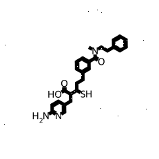 CN(CCc1ccccc1)C(=O)c1cccc(CCC(S)C(Cc2ccc(N)nc2)C(=O)O)c1